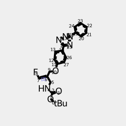 CC(C)(C)OC(=O)NC/C(=C/F)COc1ccc(-c2nnn(-c3ccccc3)n2)cc1